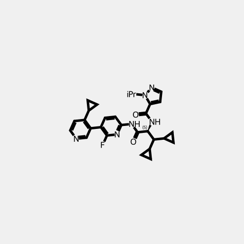 CC(C)n1nccc1C(=O)N[C@H](C(=O)Nc1ccc(-c2cnccc2C2CC2)c(F)n1)C(C1CC1)C1CC1